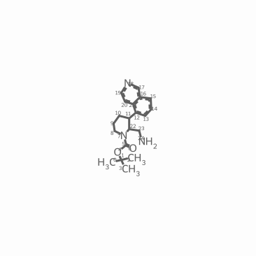 CC(C)(C)OC(=O)N1CCCC(c2cccc3cnccc23)C1CN